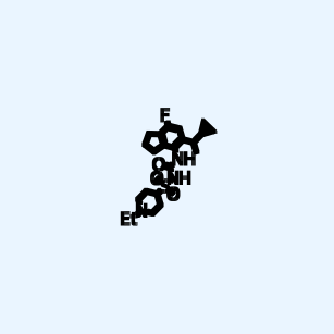 CCN1CCC(S(=O)(=O)NC(=O)Nc2c(C(C)C3CC3)cc(F)c3c2CCC3)CC1